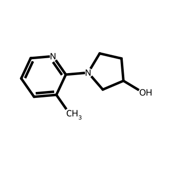 Cc1cccnc1N1CCC(O)C1